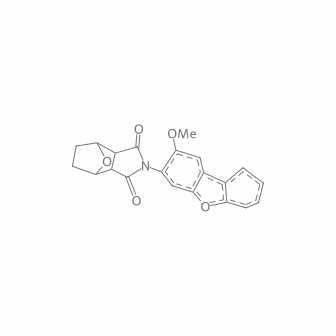 COc1cc2c(cc1N1C(=O)C3C4CCC(O4)C3C1=O)oc1ccccc12